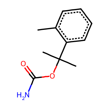 Cc1ccccc1C(C)(C)OC(N)=O